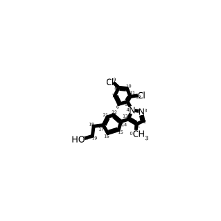 Cc1cnn(-c2ccc(Cl)cc2Cl)c1-c1ccc(CCO)cc1